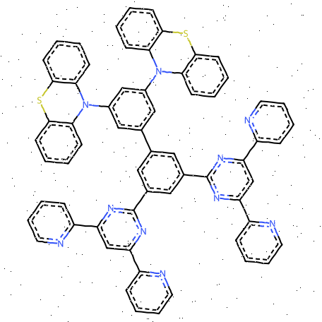 c1ccc(-c2cc(-c3ccccn3)nc(-c3cc(-c4cc(N5c6ccccc6Sc6ccccc65)cc(N5c6ccccc6Sc6ccccc65)c4)cc(-c4nc(-c5ccccn5)cc(-c5ccccn5)n4)c3)n2)nc1